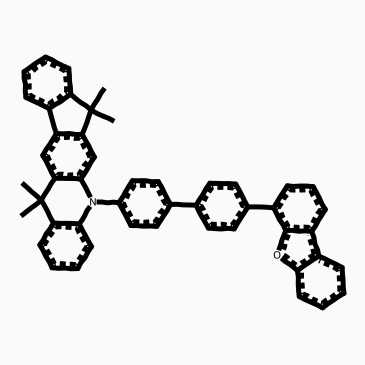 CC1(C)c2ccccc2-c2cc3c(cc21)N(c1ccc(-c2ccc(-c4cccc5c4oc4ccccc45)cc2)cc1)c1ccccc1C3(C)C